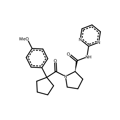 COc1ccc(C2(C(=O)N3CCC[C@@H]3C(=O)Nc3ncccn3)CCCC2)cc1